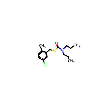 CCCN(CCC)C(=O)SCc1cc(Cl)ccc1C